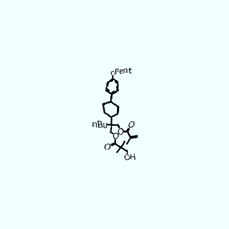 C=C(C)C(=O)OCC(CCCC)(COC(=O)C(C)(C)CO)C1CCC(c2ccc(CCCCC)cc2)CC1